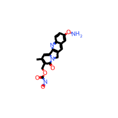 Cc1cc2n(c(=O)c1COC(=O)N=O)Cc1cc3cc(ON)ccc3nc1-2